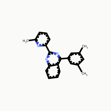 Cc1cc(C)cc(-c2nc(-c3cccc(C)n3)nc3ccccc23)c1